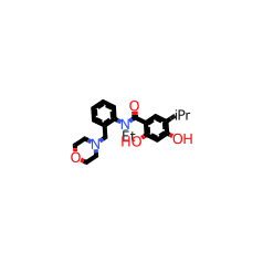 CCN(C(=O)c1cc(C(C)C)c(O)cc1O)c1ccccc1CN1CCOCC1